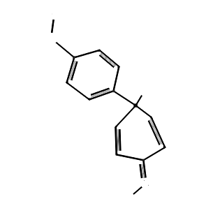 COc1ccc(C2(C)C=CC(=NO)C=C2)cc1